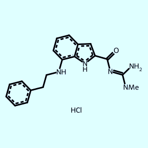 CNC(N)=NC(=O)c1cc2cccc(NCCc3ccccc3)c2[nH]1.Cl